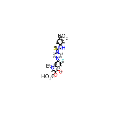 CCn1cc(OC(=O)O)c(=O)c2cc(F)c(N3CCN(C(=S)Nc4ccc([N+](=O)[O-])cc4)CC3)cc21